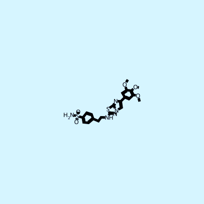 COc1cc(-c2cn3nc(NCCc4ccc(S(N)(=O)=O)cc4)sc3n2)cc(OC)c1OC